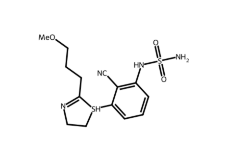 COCCCC1=NCC[SH]1c1cccc(NS(N)(=O)=O)c1C#N